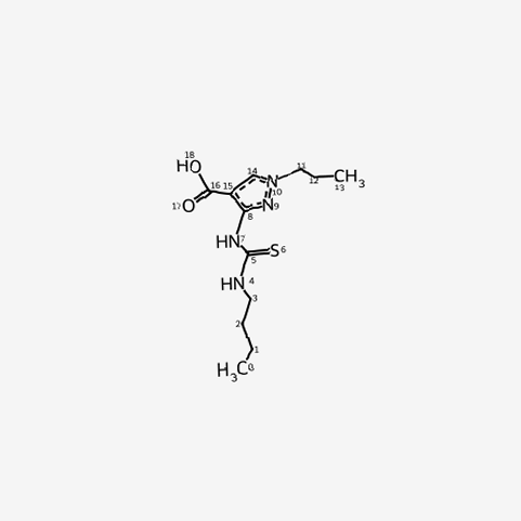 CCCCNC(=S)Nc1nn(CCC)cc1C(=O)O